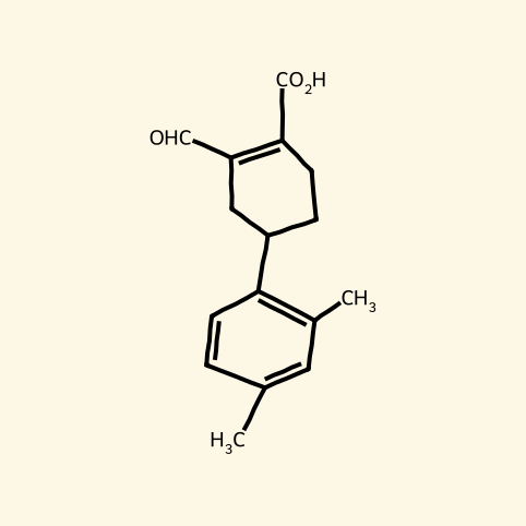 Cc1ccc(C2CCC(C(=O)O)=C(C=O)C2)c(C)c1